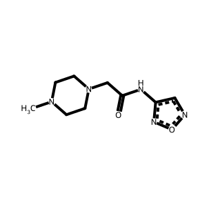 CN1CCN(CC(=O)Nc2cnon2)CC1